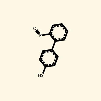 O=Pc1ccccc1-c1ccc(S)cc1